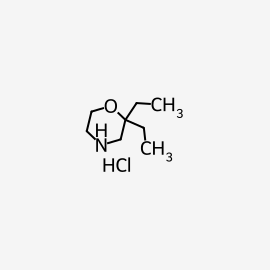 CCC1(CC)CNCCO1.Cl